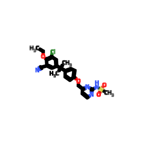 CCOc1c(Cl)cc(C(C)(C)c2ccc(OCc3ccnc(NS(C)(=O)=O)n3)cc2)cc1C#N